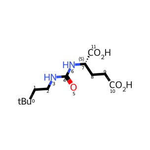 CC(C)(C)CCNC(=O)N[C@@H](CCC(=O)O)C(=O)O